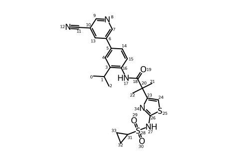 CC(C)c1cc(-c2cncc(C#N)c2)ccc1NC(=O)C(C)(C)c1csc(NS(=O)(=O)C2CC2)n1